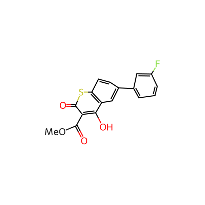 COC(=O)c1c(O)c2cc(-c3cccc(F)c3)ccc2sc1=O